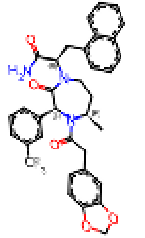 C[C@@H]1CCN([C@H](Cc2cccc3ccccc23)C(N)=O)C(=O)[C@H](c2cccc(C(F)(F)F)c2)N1C(=O)Cc1ccc2c(c1)OCO2